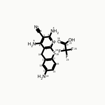 N#Cc1c(N)nc2c(c1N)Cc1cc(N)ccc1S2.O=C(O)C(F)(F)F